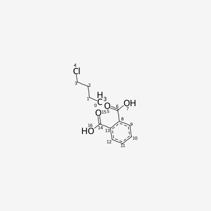 CCCCCl.O=C(O)c1ccccc1C(=O)O